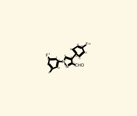 Cc1cc(F)cc(-n2cc(-c3ccc(F)cc3)c(C=O)n2)c1